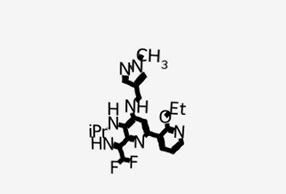 CCOc1ncccc1-c1cc(NCc2cnn(C)c2)c(NC(C)C)c(C(=N)C(F)F)n1